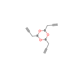 C#CCB1OB(CC#C)OB(CC#C)O1